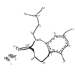 Br.Br.Cc1cc(C)c2c(n1)N(CCN(C)C)C(=O)CC2